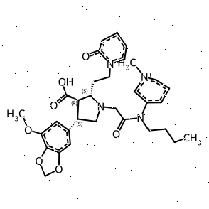 CCCCN(C(=O)CN1C[C@H](c2cc(OC)c3c(c2)OCO3)[C@@H](C(=O)O)[C@@H]1CCn1ccccc1=O)c1ccc[n+](C)c1